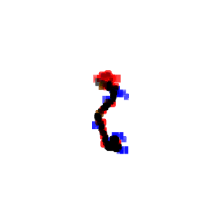 CCS(=S)COC1C[C@H](n2cc(C#CCNC(=O)OCCCCOCSSC(C)(C)CCOC(=O)NCCOCCOCCNC(=O)c3ccc(C)c(-c4c5ccc(=N)cc-5oc5cc(N)ccc45)c3)c(N)nc2=O)O[C@@H]1COP(=O)(O)OP(=O)(O)OP(=O)(O)O